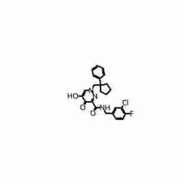 O=C(NCc1ccc(F)c(Cl)c1)c1nn(CC2(c3ccccc3)CCCC2)cc(O)c1=O